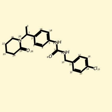 CC(c1ccc(NC(=O)NCc2ccc(Cl)cc2)cc1)N1CCCCC1=O